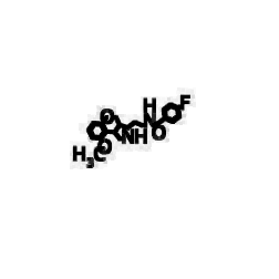 COc1cccc2c1C1CNC(CCNC(=O)c3ccc(F)cc3)C1CO2